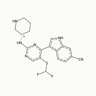 N#Cc1ccc2c(-c3nc(N[C@H]4CCCNC4)ncc3SC(F)F)c[nH]c2c1